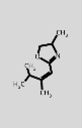 CC(=CC1=NC(C)CO1)C(C)C